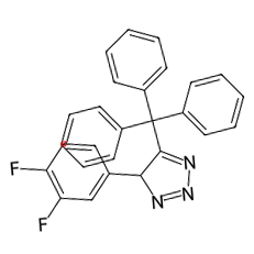 Fc1ccc(C2N=NN=C2C(c2ccccc2)(c2ccccc2)c2ccccc2)cc1F